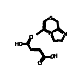 CC1=CSCC2=NCCN12.O=C(O)C=CC(=O)O